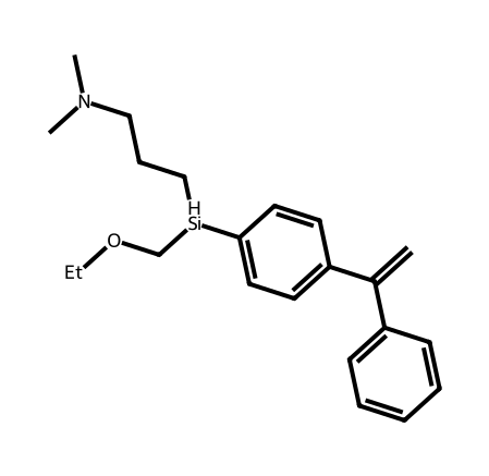 C=C(c1ccccc1)c1ccc([SiH](CCCN(C)C)COCC)cc1